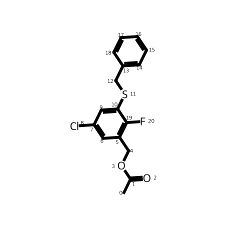 CC(=O)OCc1cc(Cl)cc(SCc2ccccc2)c1F